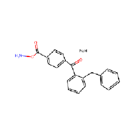 NOC(=O)c1ccc(C(=O)c2ccccc2Cc2ccccc2)cc1.[NaH]